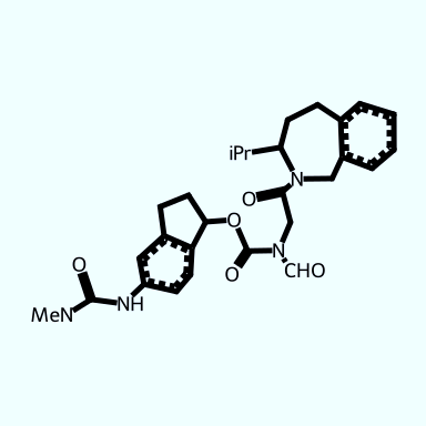 CNC(=O)Nc1ccc2c(c1)CCC2OC(=O)N(C=O)CC(=O)N1Cc2ccccc2CCC1C(C)C